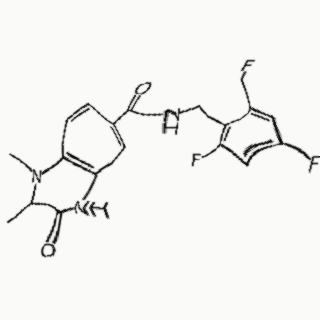 CC1C(=O)Nc2cc(C(=O)NCc3c(F)cc(F)cc3F)ccc2N1C